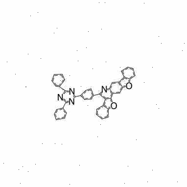 c1ccc(-c2nc(-c3ccccc3)nc(-c3ccc(-c4nc5cc6c(cc5c5oc7ccccc7c45)oc4ccccc46)cc3)n2)cc1